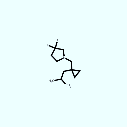 CC(C)CC1(CN2CCC(F)(F)C2)CC1